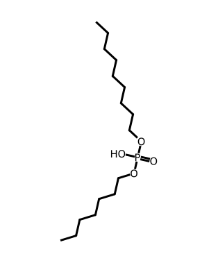 CCCCCCCCCOP(=O)(O)OCCCCCCC